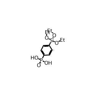 CCO[Si](OCC)(OCC)c1[c]cc(P(=O)(O)O)cc1